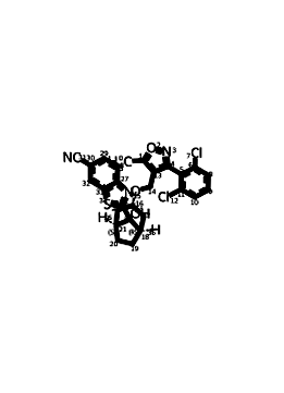 Cc1onc(-c2c(Cl)cccc2Cl)c1CO[C@@H]1C[C@H]2CC[C@@H](C1)[C@]2(O)c1nc2ccc(C#N)cc2s1